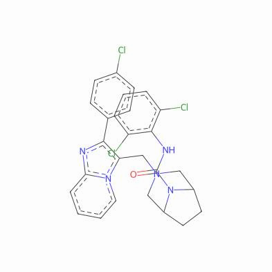 O=C(Nc1c(Cl)cccc1Cl)N1C2CCC1CN(Cc1c(-c3ccc(Cl)cc3)nc3ccccn13)C2